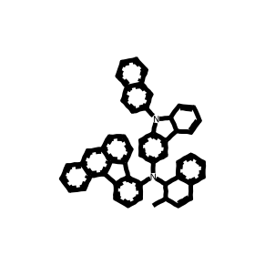 CC1C=Cc2ccccc2C1N(c1ccc2c(c1)C1C=CC=CC1N2c1ccc2ccccc2c1)c1cccc2c1-c1cccc3cc4ccccc4c-2c13